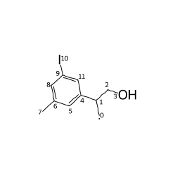 [CH2]C(CO)c1cc(C)cc(I)c1